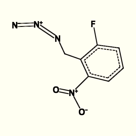 [N-]=[N+]=NCc1c(F)cccc1[N+](=O)[O-]